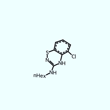 CCCCCCNC1=NSc2cccc(Cl)c2N1